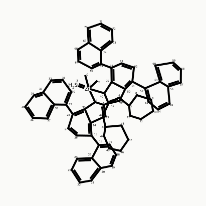 [CH3][Zr]([CH3])(=[SiH2])([CH]1C(CC2CCCCC2)=Cc2c(-c3cccc4ccccc34)ccc(-c3cccc4ccccc34)c21)[CH]1C(CC2CCCCC2)=Cc2c(-c3cccc4ccccc34)ccc(-c3cccc4ccccc34)c21